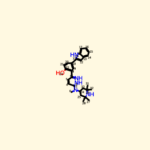 CN(C(=N)/C=C\C(=N)c1cc(-c2cc3ccccc3[nH]2)ccc1O)C1CC(C)(C)NC(C)(C)C1